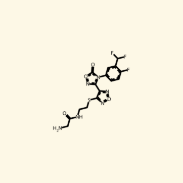 NCC(=O)NCCSc1nonc1-c1noc(=O)n1-c1ccc(F)c(C(F)F)c1